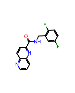 O=C(NCc1cc(F)ccc1F)c1ccc2ncccc2n1